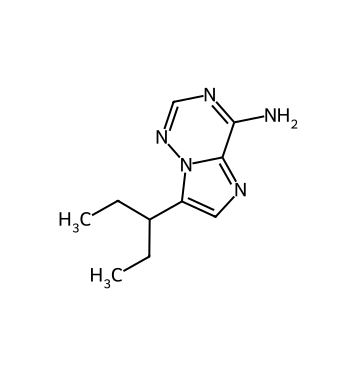 CCC(CC)c1cnc2c(N)ncnn12